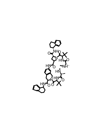 CN[C@@H](C)C(=O)NC(C(=O)N1Cc2cc(NC(=O)C3C[C@@H](C(=O)N[C@@H]4CCCc5ccccc54)N(C(=O)C(NC(=O)[C@H](C)NC)C(C)(C)C)C3)ccc2CC1C(=O)NC1CCCc2ccccc21)C(C)(C)C